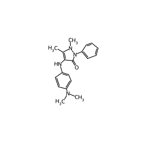 Cc1c(Nc2ccc(N(C)C)cc2)c(=O)n(-c2ccccc2)n1C